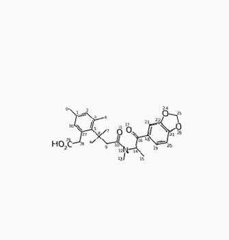 Cc1cc(C)c(C(C)(C)CC(=O)N(C)C(C)C(=O)c2ccc3c(c2)OCO3)c(CC(=O)O)c1